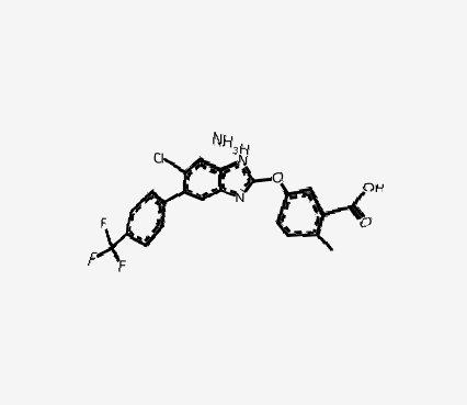 Cc1ccc(Oc2nc3cc(-c4ccc(C(F)(F)F)cc4)c(Cl)cc3[nH]2)cc1C(=O)O.N